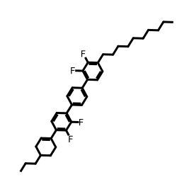 CCCCCCCCCCc1ccc(-c2ccc(-c3ccc(C4=CCC(CCC)CC4)c(F)c3F)cc2)c(F)c1F